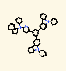 c1ccc(N(c2ccc(-c3cc(-c4ccc5c(c4)c4ccccc4n5-c4ccccc4)cc(-c4ccc5c(c4)c4ccccc4n5-c4ccccc4)c3)cn2)c2cccc3ccccc23)cc1